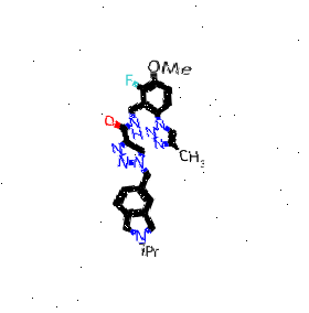 COc1ccc(-n2cc(C)nn2)c(CNC(=O)c2cn(Cc3ccc4c(c3)CN(C(C)C)C4)nn2)c1F